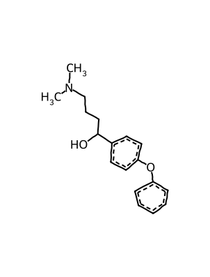 CN(C)CCCC(O)c1ccc(Oc2ccccc2)cc1